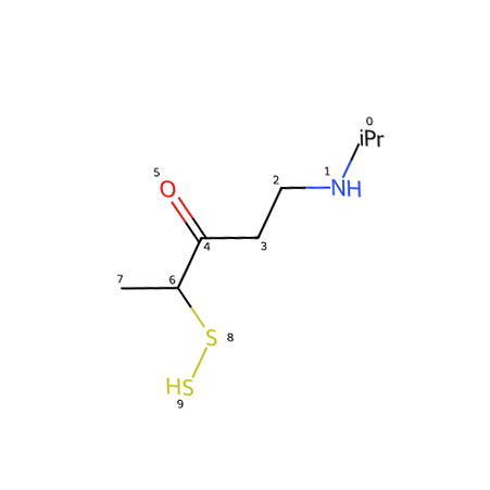 CC(C)NCCC(=O)C(C)SS